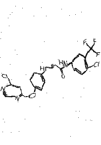 O=C(Nc1ccc(Oc2cc(Cl)ncn2)cc1)Nc1ccc(Cl)c(C(F)(F)F)c1